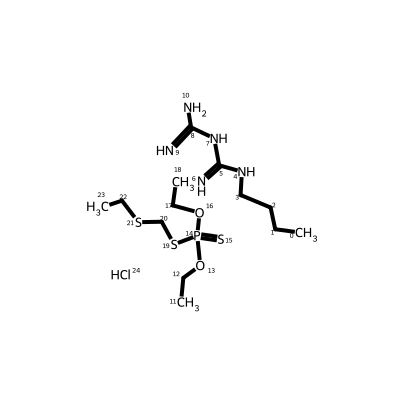 CCCCNC(=N)NC(=N)N.CCOP(=S)(OCC)SCSCC.Cl